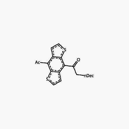 CCCCCCCCCCCC(=O)c1c2ccsc2c(C(C)=O)c2ccsc12